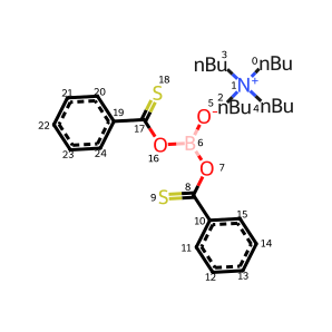 CCCC[N+](CCCC)(CCCC)CCCC.[O-]B(OC(=S)c1ccccc1)OC(=S)c1ccccc1